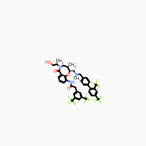 C[C@@H]1CN([C@@H](C)CO)C(=O)c2cccc(NC(=O)Cc3cc(C(F)(F)F)cc(C(F)(F)F)c3)c2O[C@@H]1CN(C)Cc1ccc(-c2ccc(C(F)(F)F)cc2C(F)(F)F)cc1